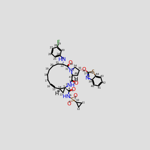 O=C1N[C@]2(C(=O)NS(=O)(=O)C3CC3)C[C@H]2/C=C\CCCCC[C@H](Nc2cccc(F)c2)C(=O)N2C[C@H](Oc3nc4ccccc4s3)C[C@@H]12